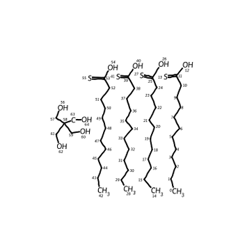 CCCCCCCCCCCC(O)=S.CCCCCCCCCCCC(O)=S.CCCCCCCCCCCC(O)=S.CCCCCCCCCCCC(O)=S.OCC(CO)(CO)CO